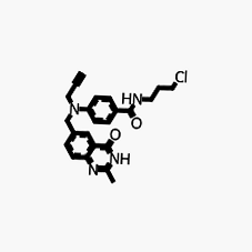 C#CCN(Cc1ccc2nc(C)[nH]c(=O)c2c1)c1ccc(C(=O)NCCCCl)cc1